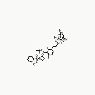 Cc1c(CCB2O[C@@H]3C[C@@H]4C[C@@H](C4(C)C)[C@]3(C)O2)ccc(OC2CN(S(=O)(=O)c3cccc[n+]3[O-])C2)c1C(=O)OC(C)(C)C